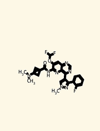 CN(C)C12CC(C(=O)Nc3nc4c(-c5cn(C)nc5-c5ccccc5F)ncnc4cc3OC(F)F)(C1)C2